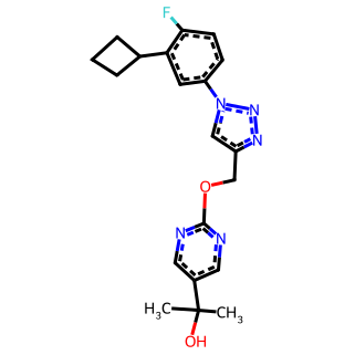 CC(C)(O)c1cnc(OCc2cn(-c3ccc(F)c(C4CCC4)c3)nn2)nc1